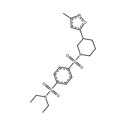 CCN(CC)S(=O)(=O)c1ccc(S(=O)(=O)N2CCCC(c3cc(C)no3)C2)cc1